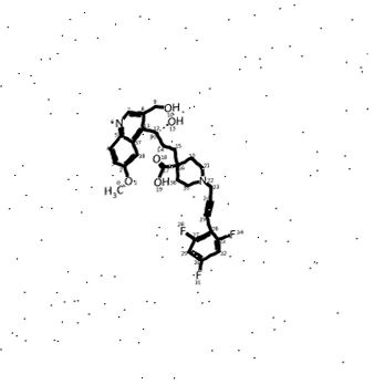 COc1ccc2ncc(CO)c([C@H](O)CCC3(C(=O)O)CCN(CC#Cc4c(F)cc(F)cc4F)CC3)c2c1